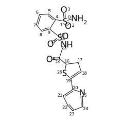 NS(=O)(=O)c1ccccc1S(=O)(=O)NC(=O)C1CC=C(c2ccccn2)S1